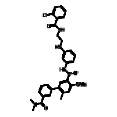 COc1cc(C)c(-c2cccc(C(=O)N(C)C)c2)cc1[S+]([O-])Nc1cccc(NCCNC(=O)c2ccccc2Cl)c1